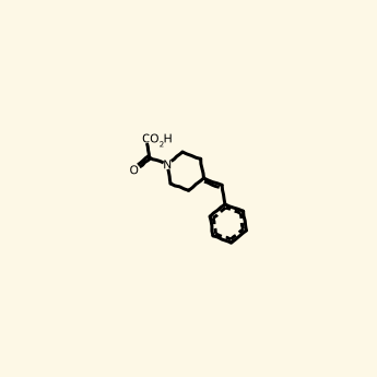 O=C(O)C(=O)N1CCC(=Cc2ccccc2)CC1